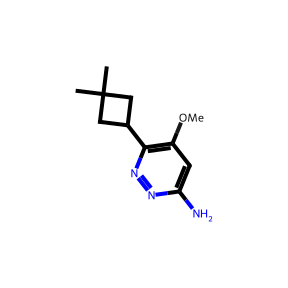 COc1cc(N)nnc1C1CC(C)(C)C1